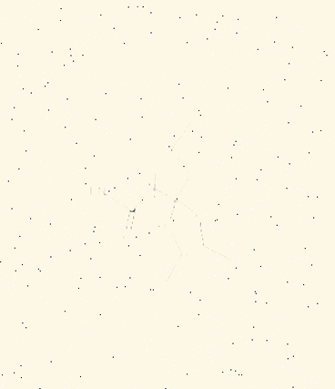 CCO[Si](NC(N)=O)(OCC)OCC